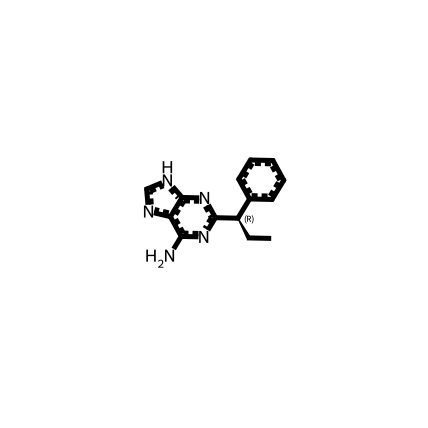 CC[C@H](c1ccccc1)c1nc(N)c2nc[nH]c2n1